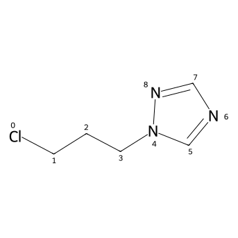 ClCCCn1cncn1